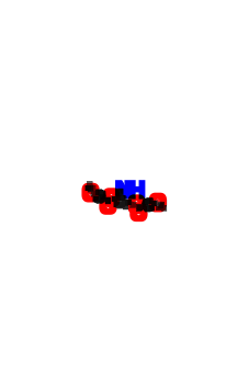 CC1(CCOC(=O)c2ccc(OC(C)(C)C)cc2)C=C(C=N)C(OC(=O)c2ccc(OC(C)(C)C)cc2)=CC1